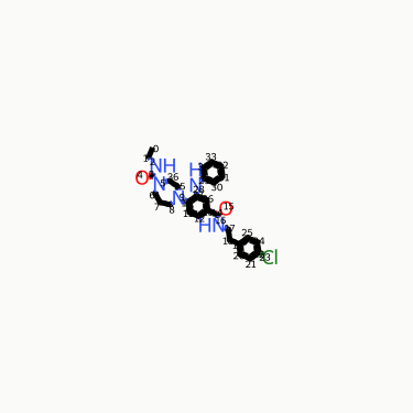 CCNC(=O)N1CCCN(c2ccc(C(=O)NCCc3ccc(Cl)cc3)cc2Nc2ccccc2)CC1